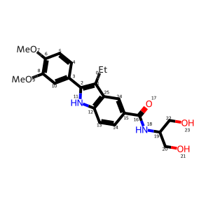 CCc1c(-c2ccc(OC)c(OC)c2)[nH]c2ccc(C(=O)NC(CO)CO)cc12